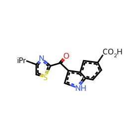 CC(C)c1csc(C(=O)c2c[nH]c3ccc(C(=O)O)cc23)n1